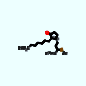 CCCCCC(CC[C@H]1CCC(=O)[C@@H]1CCCCCCC(=O)OCC)SC(C)=O